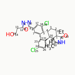 CC[C@@]12CC[C@@H](c3ccc(-c4nnc(CCO)o4)cc3Cl)[C@H](c3ccc(Cl)cc3)[C@@H]1[C@@H](C)NC2=O